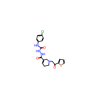 O=C(NNC(=O)C1=CCCN(CC(=O)c2cccs2)C1)Nc1ccc(Cl)cc1